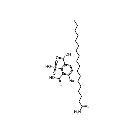 CCCCCCCCCCCCCCCCCC(N)=O.O=C(O)c1cc[c]([Na])c(C(=O)O)c1S(=O)(=O)O